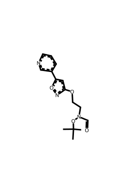 CC(C)(C)ON(C=O)CCOc1cc(-c2cccnc2)on1